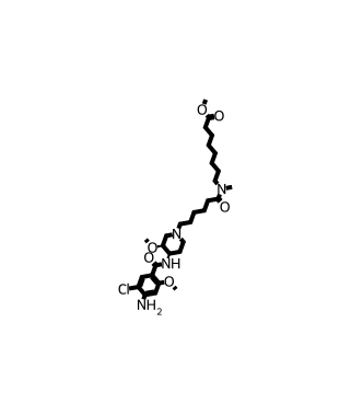 COC(=O)CCCCCCCN(C)C(=O)CCCCCN1CC[C@@H](NC(=O)c2cc(Cl)c(N)cc2OC)[C@@H](OC)C1